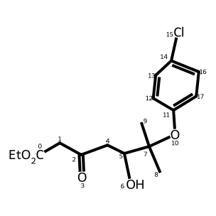 CCOC(=O)CC(=O)CC(O)C(C)(C)Oc1ccc(Cl)cc1